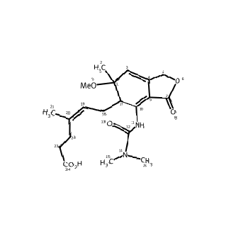 COC1(C)C=C2COC(=O)C2=C(NC(=O)N(C)C)C1CC=C(C)CCC(=O)O